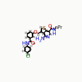 CCCNC(=O)c1cnc(N)c2c(COc3cccc(C(=O)Nc4ccc(Cl)cc4)c3)csc12